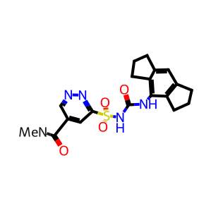 CNC(=O)c1cnnc(S(=O)(=O)NC(=O)Nc2c3c(cc4c2CCC4)CCC3)c1